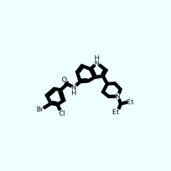 CCC(CC)N1CCC(c2c[nH]c3ccc(NC(=O)c4ccc(Br)c(Cl)c4)cc23)CC1